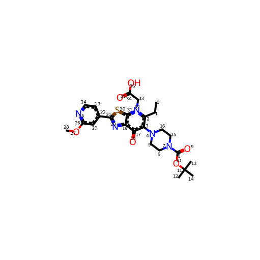 CCc1c(N2CCN(C(=O)OC(C)(C)C)CC2)c(=O)c2nc(-c3ccnc(OC)c3)sc2n1CC(=O)O